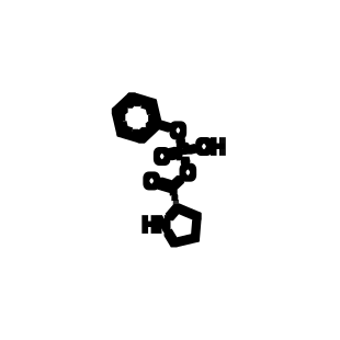 O=C(OP(=O)(O)Oc1ccccc1)[C@@H]1CCCN1